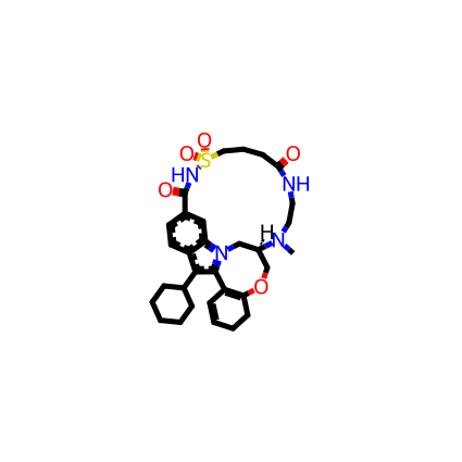 CN1CCNC(=O)CCCS(=O)(=O)NC(=O)c2ccc3c(C4CCCCC4)c4n(c3c2)C[C@@H]1COC1=C4C=CCC1